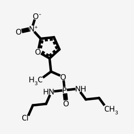 CCCNP(=O)(NCCCl)OC(C)c1ccc([N+](=O)[O-])o1